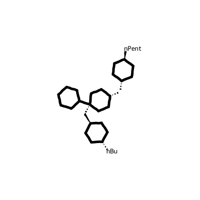 CCCCC[C@H]1CC[C@H](C[C@H]2CC[C@](C[C@H]3CC[C@H](CCCC)CC3)(C3CCCCC3)CC2)CC1